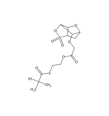 CCC(C)(C)C(=O)SCCOC(=O)COC1C2CC3C(O2)C1OS3(=O)=O